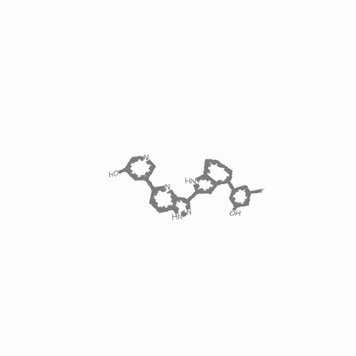 Oc1cncc(-c2ccc3[nH]nc(-c4cc5c(-c6cc(O)cc(F)c6)cccc5[nH]4)c3n2)c1